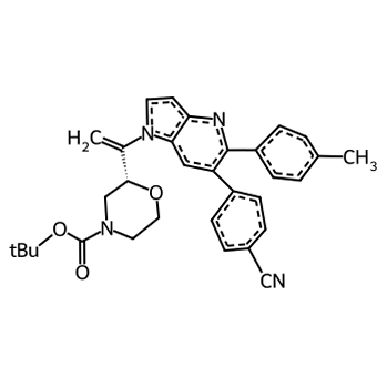 C=C([C@H]1CN(C(=O)OC(C)(C)C)CCO1)n1ccc2nc(-c3ccc(C)cc3)c(-c3ccc(C#N)cc3)cc21